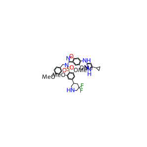 COc1ccc(CN(c2noc3cc(Nc4cc(C5CC5)[nH]n4)c(OC)cc23)S(=O)(=O)c2c(OC)cc(C3CNCC(F)(F)C3)cc2OC)cc1